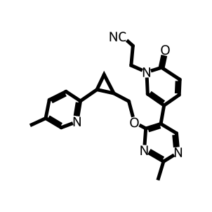 Cc1ccc(C2CC2COc2nc(C)ncc2-c2ccc(=O)n(CCC#N)c2)nc1